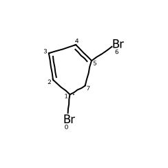 Br[C]1C=CC=C(Br)C1